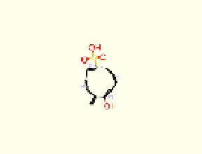 C=C1/C=C\C=C(\S(=O)(=O)O)C/C=C\C=C/1O